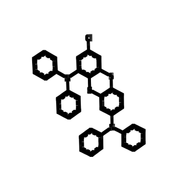 Clc1cc2c(c(N(c3ccccc3)c3ccccc3)c1)Sc1cc(N(c3ccccc3)c3ccccc3)ccc1S2